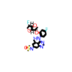 Cc1cc(N=S(C)(C)=O)cc2ncnc(Nc3ccc(F)cc3O[C@@H]3CO[C@H]4[C@@H]3OC[C@@H]4F)c12